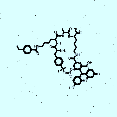 CCc1ccc(C(=O)NCCCCC(NC(=O)C(N)Cc2ccc(C(F)(F)O[PH](=O)O)cc2)C(=O)NC(C)C(=O)NC(CCCCNC(=O)c2ccc(-c3c4ccc(=O)cc-4oc4cc(O)ccc34)c(C(=O)O)c2)C(N)=O)cc1